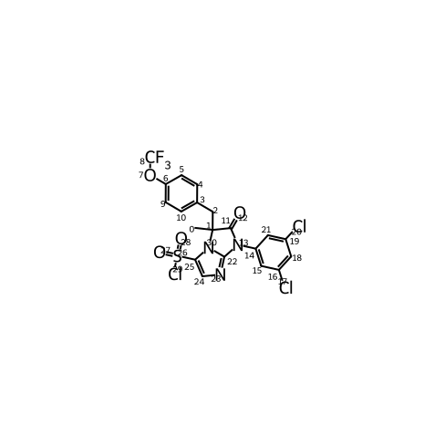 CC1(Cc2ccc(OC(F)(F)F)cc2)C(=O)N(c2cc(Cl)cc(Cl)c2)c2ncc(S(=O)(=O)Cl)n21